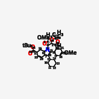 COC(=O)[C@@]12Cn3c4c(c(C5CCCCC5)c3C3CC=C(OC)C=C3[C@@H]1OC(C)(C)O2)C=CC(C(=O)OC(C)(C)C)C4